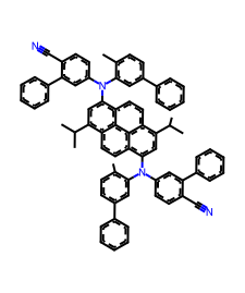 Cc1ccc(-c2ccccc2)cc1N(c1ccc(C#N)c(-c2ccccc2)c1)c1cc(C(C)C)c2ccc3c(N(c4ccc(C#N)c(-c5ccccc5)c4)c4cc(-c5ccccc5)ccc4C)cc(C(C)C)c4ccc1c2c43